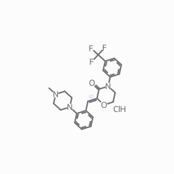 CN1CCN(c2ccccc2/C=C2\OCCN(c3cccc(C(F)(F)F)c3)C2=O)CC1.Cl